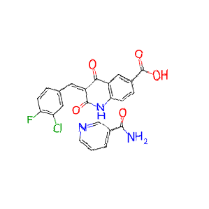 NC(=O)c1cccnc1.O=C1Nc2ccc(C(=O)O)cc2C(=O)/C1=C/c1ccc(F)c(Cl)c1